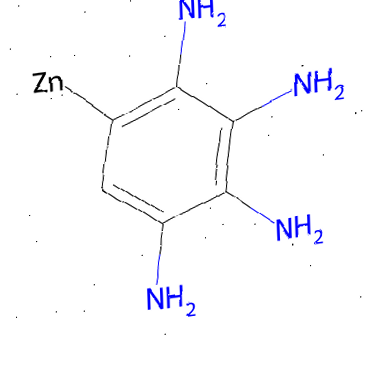 Nc1c[c]([Zn])c(N)c(N)c1N